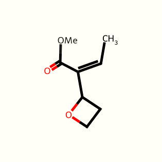 CC=C(C(=O)OC)C1CCO1